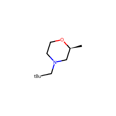 C[C@H]1CN(CC(C)(C)C)CCO1